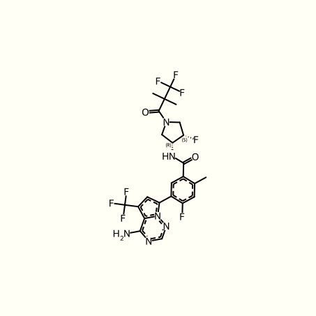 Cc1cc(F)c(-c2cc(C(F)(F)F)c3c(N)ncnn23)cc1C(=O)N[C@@H]1CN(C(=O)C(C)(C)C(F)(F)F)C[C@@H]1F